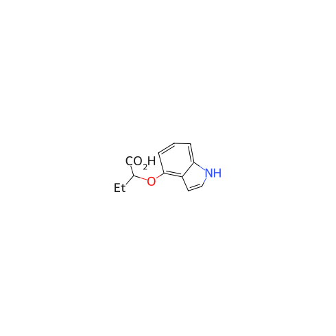 CCC(Oc1cccc2[nH]ccc12)C(=O)O